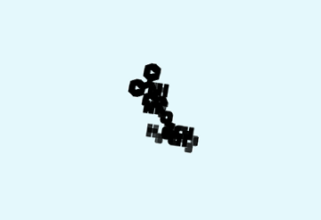 C[Si](C)(C)CCOCn1ccc2c(NC(c3ccccc3)c3ccccc3)ccnc21